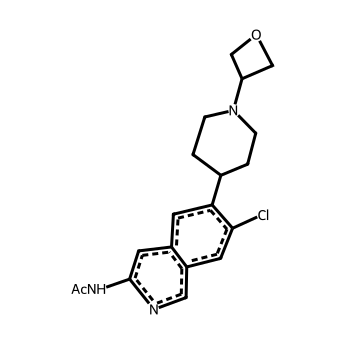 CC(=O)Nc1cc2cc(C3CCN(C4COC4)CC3)c(Cl)cc2cn1